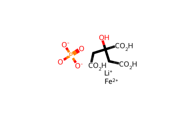 O=C(O)CC(O)(CC(=O)O)C(=O)O.O=P([O-])([O-])[O-].[Fe+2].[Li+]